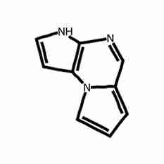 c1cc2cnc3[nH]ccc3n2c1